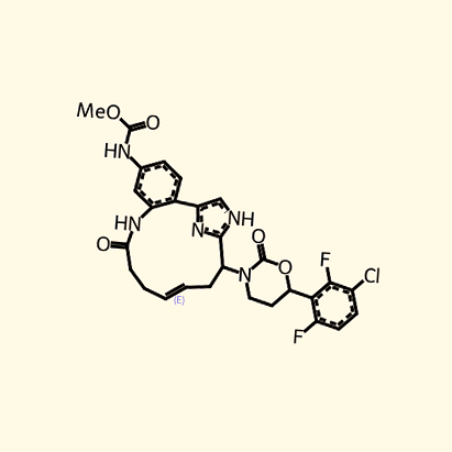 COC(=O)Nc1ccc2c(c1)NC(=O)CC/C=C/CC(N1CCC(c3c(F)ccc(Cl)c3F)OC1=O)c1nc-2c[nH]1